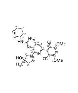 COc1cc(OC)c(Cl)c(-c2cc3cnc(N[C@H]4CCCOC4)nc3c(N3CCC(C)(O)C3)n2)c1Cl